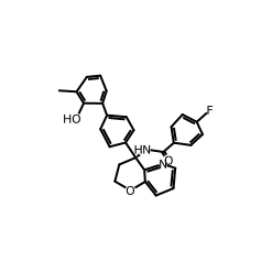 Cc1cccc(-c2ccc([C@@]3(NC(=O)c4ccc(F)cc4)CCOc4cccnc43)cc2)c1O